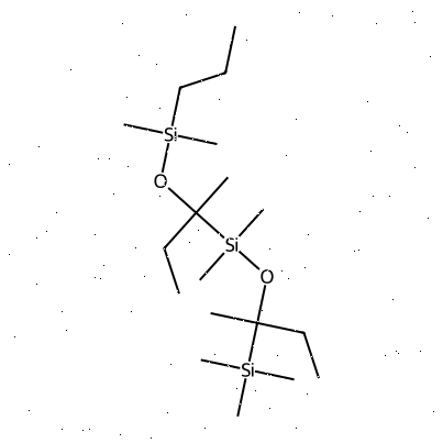 CCC[Si](C)(C)OC(C)(CC)[Si](C)(C)OC(C)(CC)[Si](C)(C)C